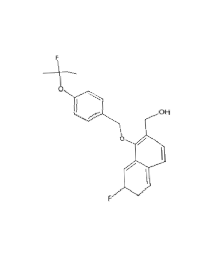 CC(C)(F)Oc1ccc(COc2c(CO)ccc3c2=CC(F)CC=3)cc1